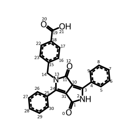 O=C1NC(c2ccccc2)=C2C(=O)N(Cc3ccc(C(=O)O)cc3)C(c3ccccc3)=C12